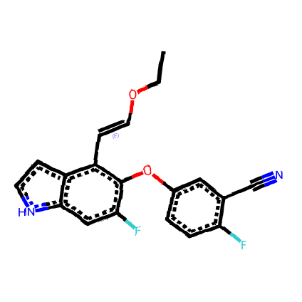 CCO/C=C/c1c(Oc2ccc(F)c(C#N)c2)c(F)cc2[nH]ccc12